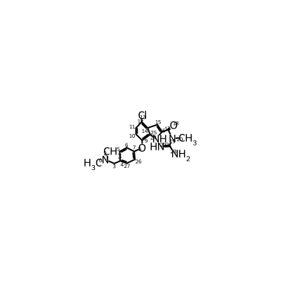 CN(C)Cc1ccc(Oc2ccc(Cl)c3cc(C(=O)N(C)C(=N)N)[nH]c23)cc1